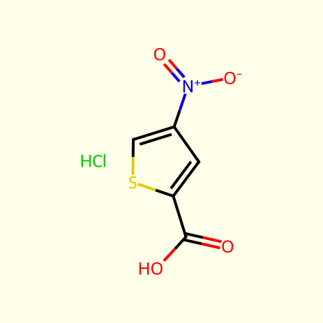 Cl.O=C(O)c1cc([N+](=O)[O-])cs1